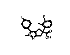 Cc1c(F)cccc1C1(C(=O)O)Cc2nn(C)c(-c3ccc(F)cc3)c2C1